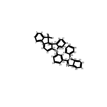 CC1(C)c2ccccc2-c2ccc3c(c21)c1ccccc1n3-c1cccc(-c2nc3ccccc3n2-c2ccccc2)c1